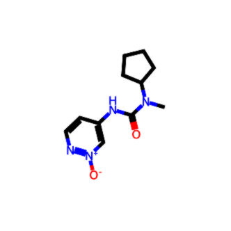 CN(C(=O)Nc1ccn[n+]([O-])c1)C1CCCC1